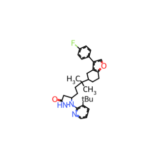 CC(C)(C)c1cccnc1N1NC(=O)CC1CCC(C)(C)C1CCc2occ(-c3ccc(F)cc3)c2C1